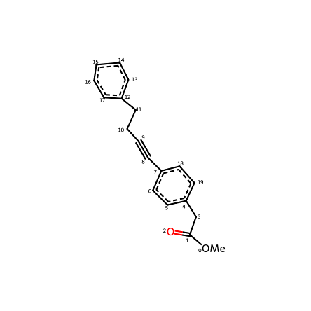 COC(=O)Cc1ccc(C#CCCc2ccccc2)cc1